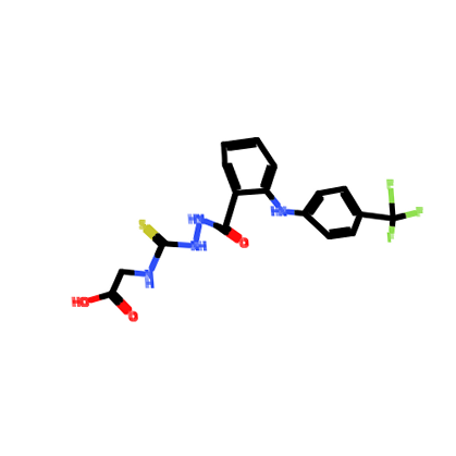 O=C(O)CNC(=S)NNC(=O)c1ccccc1Nc1ccc(C(F)(F)F)cc1